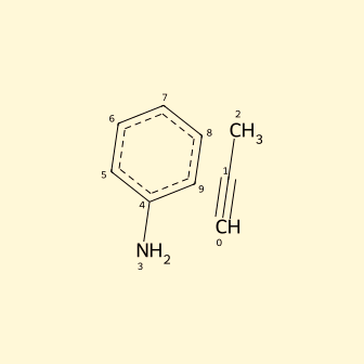 C#CC.Nc1ccccc1